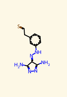 NC1=NN=C(N)C1=NNc1cccc(CC=S)c1